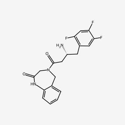 N[C@@H](CC(=O)N1CC(=O)Nc2ccccc2C1)Cc1cc(F)c(F)cc1F